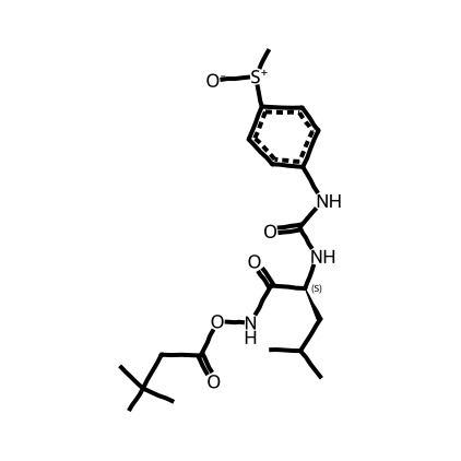 CC(C)C[C@H](NC(=O)Nc1ccc([S+](C)[O-])cc1)C(=O)NOC(=O)CC(C)(C)C